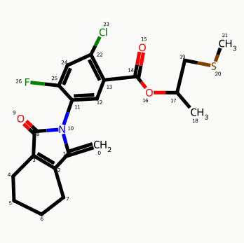 C=C1C2=C(CCCC2)C(=O)N1c1cc(C(=O)OC(C)CSC)c(Cl)cc1F